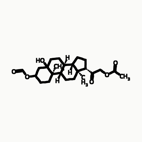 CC(=O)OCC(=O)[C@H]1CC[C@H]2[C@@H]3CCC4(O)CC(OC=O)CC[C@]4(C)[C@H]3CC[C@]12C